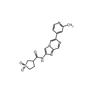 Cc1cc(-c2cn3cc(NC(=O)C4CCS(=O)(=O)C4)nc3cn2)ccn1